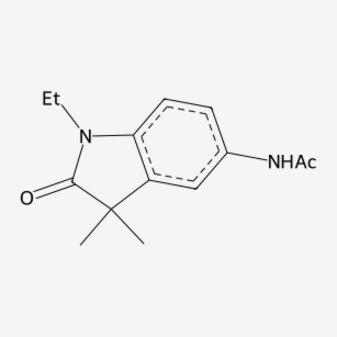 CCN1C(=O)C(C)(C)c2cc(NC(C)=O)ccc21